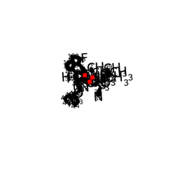 CC(C)[Si](C#Cc1c(F)ccc2cccc(-c3ccc4c(N5CCN(C(=O)OC(C)(C)C)[C@@H](CC#N)C5)nc(OCC56CCCN5CCC6)nc4c3F)c12)(C(C)C)C(C)C